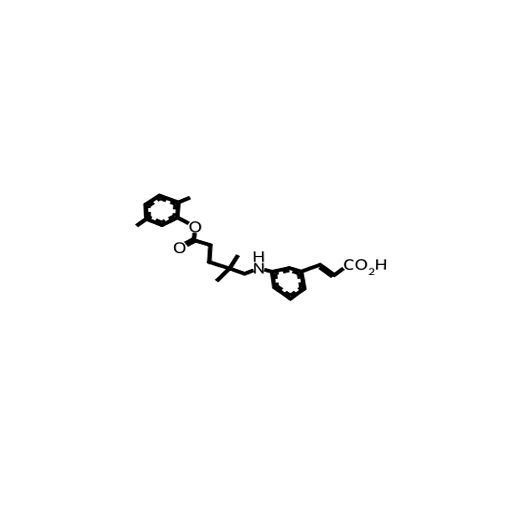 Cc1ccc(C)c(OC(=O)CCC(C)(C)CNc2cccc(C=CC(=O)O)c2)c1